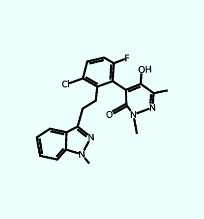 Cc1nn(C)c(=O)c(-c2c(F)ccc(Cl)c2CCc2nn(C)c3ccccc23)c1O